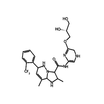 CC1=CC(c2ccccc2C(F)(F)F)NN2C1NC(C)C2C(=O)NC1=CNCC(OC[C@H](O)CO)=N1